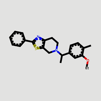 CCOc1cc(C(C)N2CCc3nc(-c4ccccc4)sc3C2)ccc1C